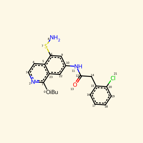 CC(C)COc1nccc2c(SN)cc(NC(=O)Cc3ccccc3Cl)cc12